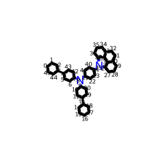 c1ccc(-c2ccc(N(c3ccc(-c4ccccc4)cc3)c3ccc(-n4c5cccc6ccc7cccc4c7c65)cc3)cc2)cc1